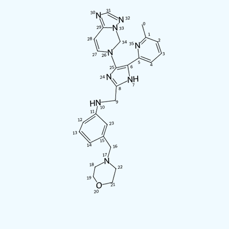 Cc1cccc(-c2[nH]c(CNc3cccc(CN4CCOCC4)c3)nc2N2C=Cc3ncnn3C2)n1